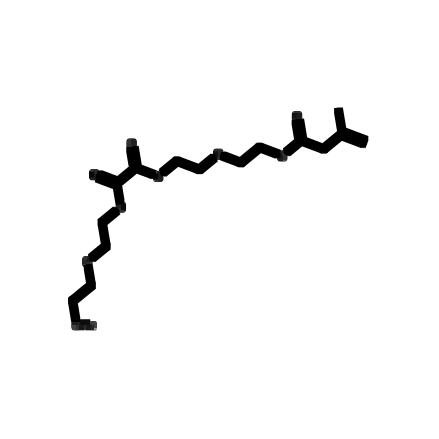 C=C(C)CC(=O)OCCOCCOC(=O)C(=O)OCCOCCOC